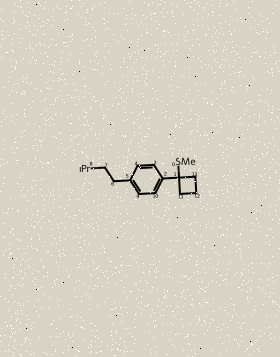 CSC1(c2ccc(CCC(C)C)cc2)CCC1